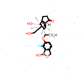 C[C@@H]1CC[C@@]23CCC(=O)[C@H]2[C@@]1(C)[C@H](C(Oc1ccc2c(c1F)B(O)OC2)C(=O)O)C[C@@](C)(CO)[C@@H](O)[C@@H]3C